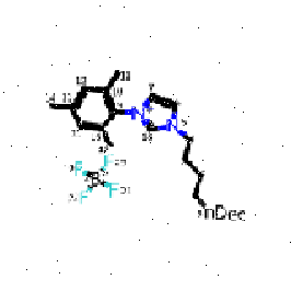 CCCCCCCCCCCCCCn1cc[n+](-c2c(C)cc(C)cc2C)c1.F[B-](F)(F)F